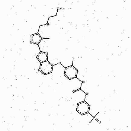 COCCNCc1cnc(-c2cc3nccc(Oc4ccc(NC(=O)Nc5cccc(P(C)(C)=O)c5)cc4F)c3s2)n1C